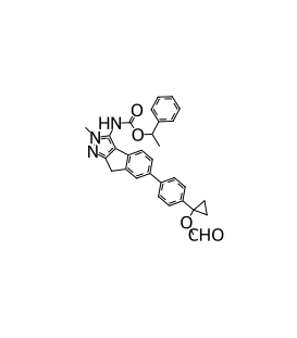 CC(OC(=O)Nc1c2c(nn1C)Cc1cc(-c3ccc(C4(OC=O)CC4)cc3)ccc1-2)c1ccccc1